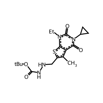 CCn1c(=O)n(C2CC2)c(=O)c2c(C)c(CNNC(=O)OC(C)(C)C)sc21